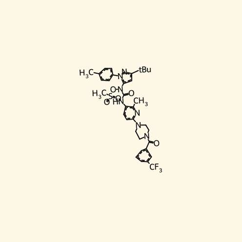 Cc1ccc(-n2nc(C(C)(C)C)cc2N(OS(C)(=O)=O)C(=O)Nc2ccc(N3CCN(C(=O)c4cccc(C(F)(F)F)c4)CC3)nc2C)cc1